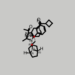 CC(=O)N[C@@H](CCN1[C@@H]2CC[C@H]1C[C@@H](n1c(C)nc3c1CCN(C(=O)C1CCC1)C3)C2)c1cccc(F)c1